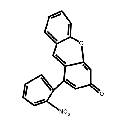 O=c1cc2oc3ccccc3cc-2c(-c2ccccc2[N+](=O)[O-])c1